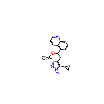 O=COC(Cc1cn[nH]c1C1CC1)c1cccc2ncccc12